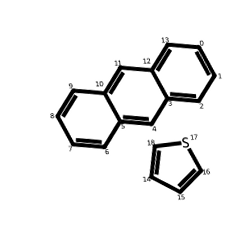 c1ccc2cc3ccccc3cc2c1.c1ccsc1